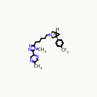 CC1=NCC(c2nnc(CCCCCN3C[C@@H]4C[C@]4(c4ccc(C(F)(F)F)cc4)C3)n2C)N=C1